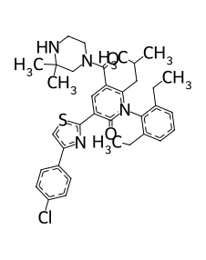 CCc1cccc(CC)c1-n1c(CC(C)C)c(C(=O)N2CCNC(C)(C)C2)cc(-c2nc(-c3ccc(Cl)cc3)cs2)c1=O